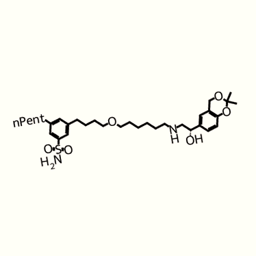 CCCCCc1cc(CCCCOCCCCCCNC[C@@H](O)c2ccc3c(c2)COC(C)(C)O3)cc(S(N)(=O)=O)c1